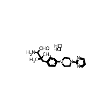 CC(C)(Cc1ccc(N2CCN(c3ncccn3)CC2)cc1)C(N)C=O.Cl.Cl